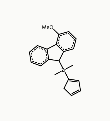 COc1cccc2c1-c1ccccc1[CH]2[Zr]([CH3])([CH3])[C]1=CC=CC1